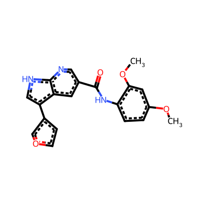 COc1ccc(NC(=O)c2cnc3[nH]cc(-c4ccoc4)c3c2)c(OC)c1